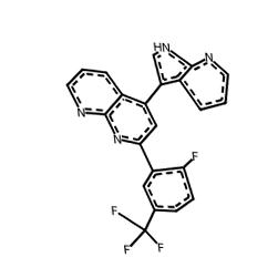 Fc1ccc(C(F)(F)F)cc1-c1cc(-c2c[nH]c3ncccc23)c2cccnc2n1